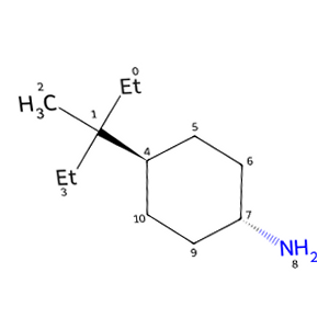 CCC(C)(CC)[C@H]1CC[C@H](N)CC1